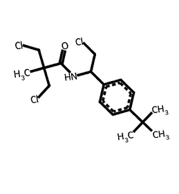 CC(CCl)(CCl)C(=O)NC(CCl)c1ccc(C(C)(C)C)cc1